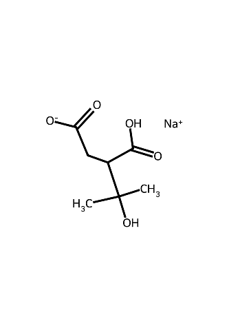 CC(C)(O)C(CC(=O)[O-])C(=O)O.[Na+]